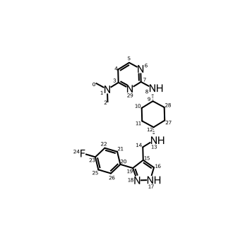 CN(C)c1ccnc(N[C@H]2CC[C@@H](NCc3c[nH]nc3-c3ccc(F)cc3)CC2)n1